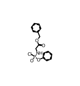 O=C(CNP(=O)(Cl)Oc1ccccc1)OCc1ccccc1